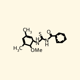 COC1C(C)=CC(C)=CC1NC(=S)NC(=O)c1ccccc1